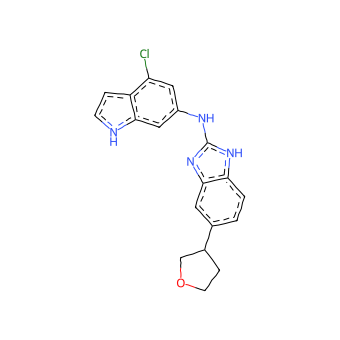 Clc1cc(Nc2nc3cc(C4CCOC4)ccc3[nH]2)cc2[nH]ccc12